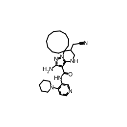 N#CCC1CNc2c(C(=O)Nc3cnccc3N3CCCCC3)c(N)nn2C12CCCCCCCCCC2